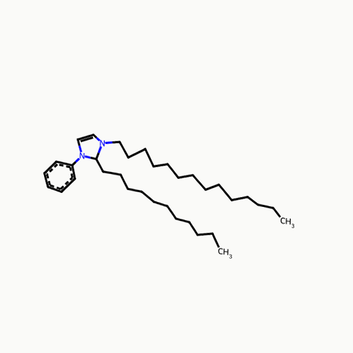 CCCCCCCCCCCCCCN1C=CN(c2ccccc2)C1CCCCCCCCCCC